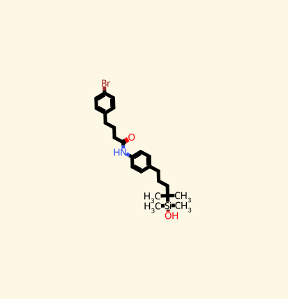 CC(C)(CCCc1ccc(NC(=O)CCCc2ccc(Br)cc2)cc1)[Si](C)(C)O